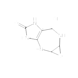 O=c1[nH]c2c([nH]1)[C@H](O)NC1OC1N2